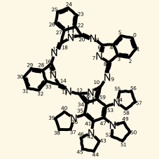 c1ccc2c(c1)-c1nc-2nc2[nH]c(nc3nc(nc4[nH]c(n1)c1ccccc41)-c1ccccc1-3)c1c(N3CCCC3)c(N3CCCC3)c(N3CCCC3)c(N3CCCC3)c21